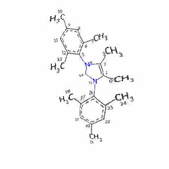 CC1=C(C)N(c2c(C)cc(C)cc2C)CN1c1c(C)cc(C)cc1C